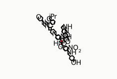 CC(C)Oc1ccccc1[C@@H]1CN(C2CCOCC2)CCN1C1CC2(CCN(c3ccc(C(=O)NS(=O)(=O)c4ccc(NCC5CCC(C)(O)CC5)c([N+](=O)[O-])c4)c(N4c5cc6cc[nH]c6nc5O[C@H]5COCC[C@@H]54)c3)CC2)C1C